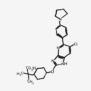 CC(C)(C(=O)O)C1CCC(Oc2nc3nc(-c4ccc(N5CCCC5)cc4)c(Cl)cc3[nH]2)CC1